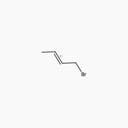 C/C=C/CBr